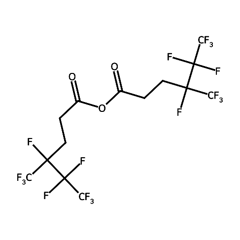 O=C(CCC(F)(C(F)(F)F)C(F)(F)C(F)(F)F)OC(=O)CCC(F)(C(F)(F)F)C(F)(F)C(F)(F)F